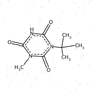 Cn1c(=O)[nH]c(=O)n(C(C)(C)C)c1=O